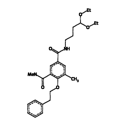 CCOC(CCCNC(=O)c1cc(C)c(OCCc2ccccc2)c(C(=O)NC)c1)OCC